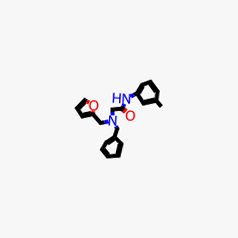 Cc1cccc(NC(=O)CN(Cc2ccccc2)Cc2ccco2)c1